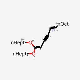 CCCCCCCC/C=C/C#CC=C(OCCCCCCC)OCCCCCCC